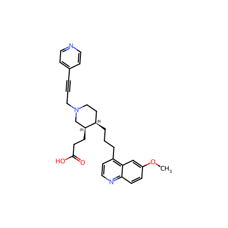 COc1ccc2nccc(CCC[C@@H]3CCN(CC#Cc4ccncc4)C[C@@H]3CCC(=O)O)c2c1